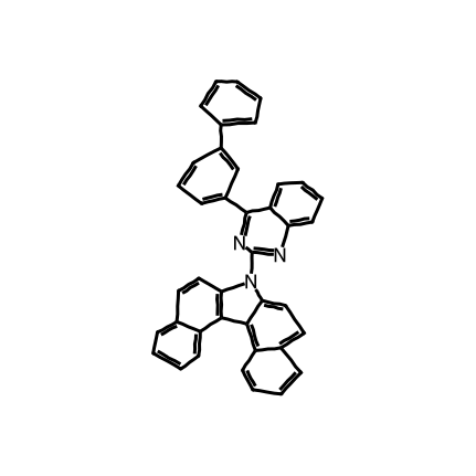 c1ccc(-c2cccc(-c3nc(-n4c5ccc6ccccc6c5c5c6ccccc6ccc54)nc4ccccc34)c2)cc1